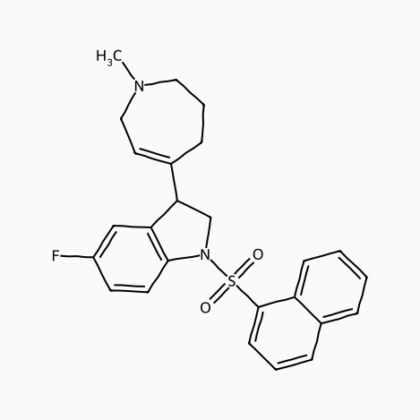 CN1CC=C(C2CN(S(=O)(=O)c3cccc4ccccc34)c3ccc(F)cc32)CCC1